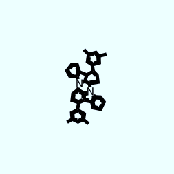 Cc1cc(C)cc(C2=CC=C3C4C2c2ccccc2N4c2ccc(-c4cc(C)cc(C)c4)c4c5ccccc5n3c24)c1